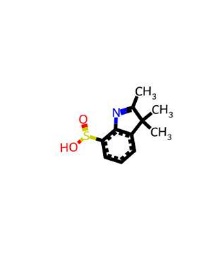 CC1=Nc2c(S(=O)O)cccc2C1(C)C